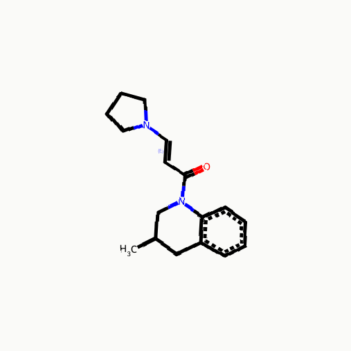 CC1Cc2ccccc2N(C(=O)/C=C/N2CCCC2)C1